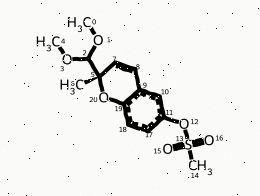 COC(OC)[C@]1(C)C=Cc2cc(OS(C)(=O)=O)ccc2O1